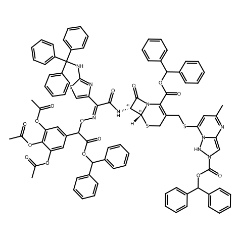 CC(=O)Oc1cc(C(ON=C(C(=O)N[C@@H]2C(=O)N3C(C(=O)OC(c4ccccc4)c4ccccc4)=C(CSC4=CC(C)=NC5=CN(C(=O)OC(c6ccccc6)c6ccccc6)NN54)CS[C@H]23)c2csc(NC(c3ccccc3)(c3ccccc3)c3ccccc3)n2)C(=O)OC(c2ccccc2)c2ccccc2)cc(OC(C)=O)c1OC(C)=O